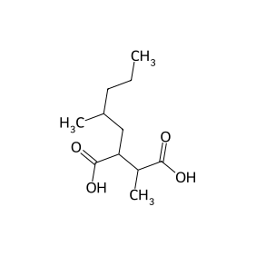 CCCC(C)CC(C(=O)O)C(C)C(=O)O